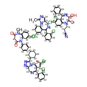 CN1C(=O)CC(=O)N(c2ccccc2)c2cc(Cl)ccc21.Cc1ncc2n1-c1ccc(Cl)cc1C(c1ccccc1Cl)=NC2.Clc1ccccc1C1=NCc2nnc(C3CCCCC3)n2-c2sc(Br)cc21.N#CCCN1C(=O)C(O)N=C(c2ccccc2F)c2cc(Cl)ccc21